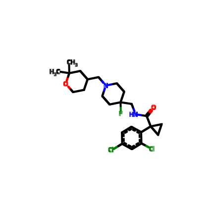 CC1(C)CC(CN2CCC(F)(CNC(=O)C3(c4ccc(Cl)cc4Cl)CC3)CC2)CCO1